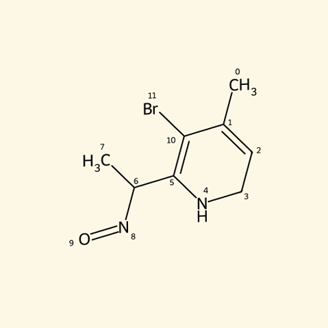 CC1=CCNC(C(C)N=O)=C1Br